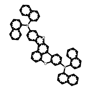 c1ccc2c(N(c3ccc4c(c3)Oc3cccc5c3c-4cc3oc4cc(N(c6cccc7ccccc67)c6cccc7ccccc67)ccc4c35)c3cccc4ccccc34)cccc2c1